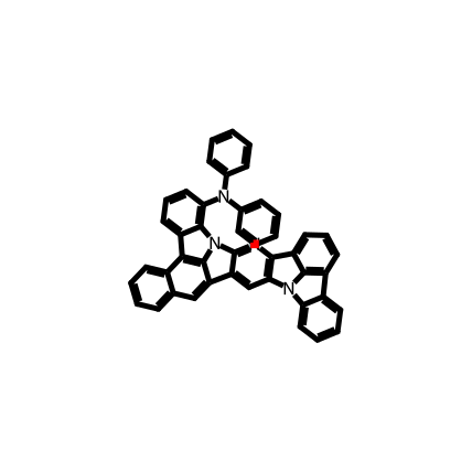 c1ccc(N(c2ccccc2)c2cccc3c4c5ccccc5cc5c6cc7c(nc6n(c23)c54)c2cccc3c4ccccc4n7c32)cc1